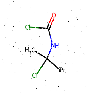 CC(C)C(C)(Cl)NC(=O)Cl